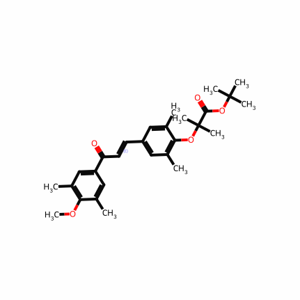 COc1c(C)cc(C(=O)/C=C/c2cc(C)c(OC(C)(C)C(=O)OC(C)(C)C)c(C)c2)cc1C